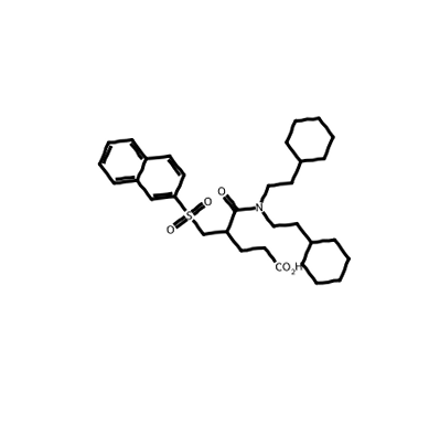 O=C(O)CCC(CS(=O)(=O)c1ccc2ccccc2c1)C(=O)N(CCC1CCCCC1)CCC1CCCCC1